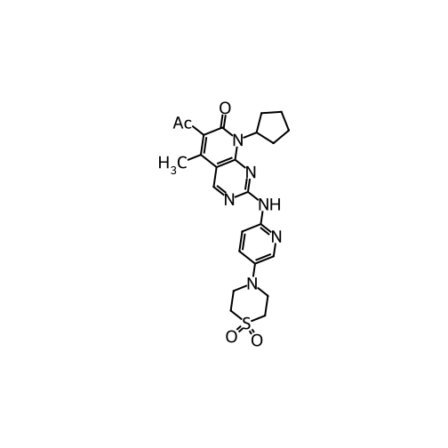 CC(=O)c1c(C)c2cnc(Nc3ccc(N4CCS(=O)(=O)CC4)cn3)nc2n(C2CCCC2)c1=O